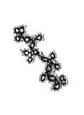 c1ccc(-c2c(-c3ccccc3)n(-c3ccc(N(c4ccccc4)c4ccc(N(c5ccccc5)c5cccc6ccccc56)cc4)cc3)c3ccc(-c4ccc5c(c4)c(-c4ccccc4)c(-c4ccccc4)n5-c4ccc(N(c5ccccc5)c5ccc(N(c6ccccc6)c6cccc7ccccc67)cc5)cc4)cc23)cc1